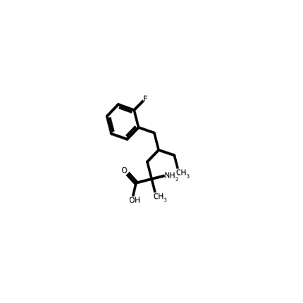 CCC(Cc1ccccc1F)CC(C)(N)C(=O)O